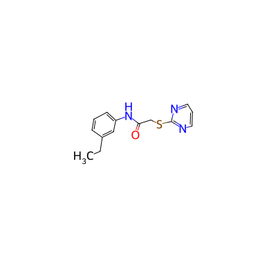 CCc1cccc(NC(=O)CSc2ncccn2)c1